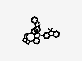 CC1(C)c2ccccc2-c2ccc(N(c3ccc4c(c3)sc3ccccc34)c3cccc4c3-c3ccccc3C3CC5CC6CC4C56C3)cc21